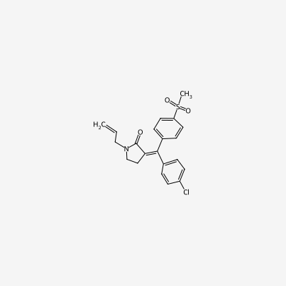 C=CCN1CCC(=C(c2ccc(Cl)cc2)c2ccc(S(C)(=O)=O)cc2)C1=O